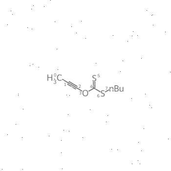 CC#COC(=S)SCCCC